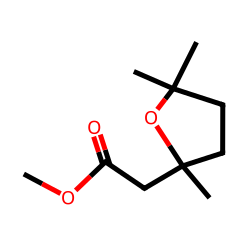 COC(=O)CC1(C)CCC(C)(C)O1